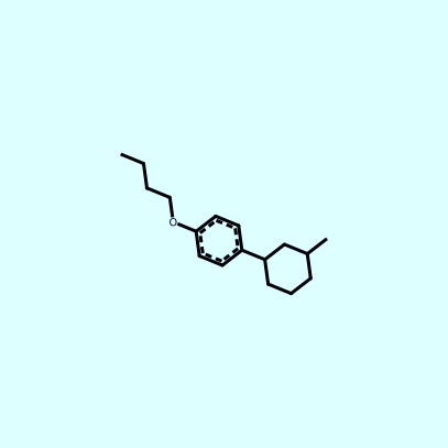 CCCCOc1ccc(C2CCCC(C)C2)cc1